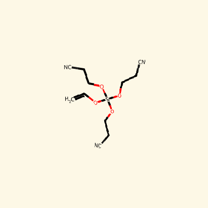 C=CO[Si](OCCC#N)(OCCC#N)OCCC#N